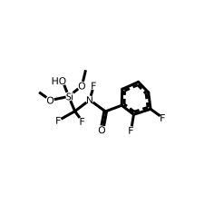 CO[Si](O)(OC)C(F)(F)N(F)C(=O)c1cccc(F)c1F